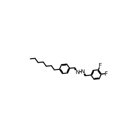 CCCCCCCc1ccc(C=NN=Cc2ccc(F)c(F)c2)cc1